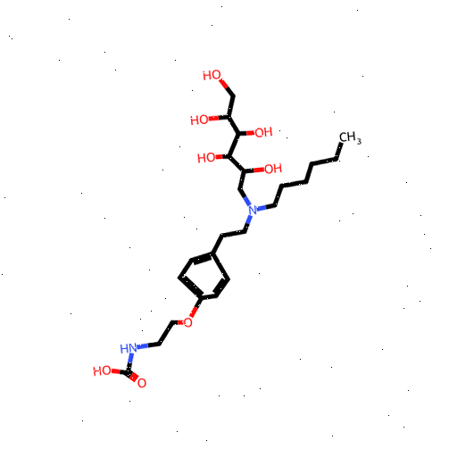 CCCCCCN(CCc1ccc(OCCNC(=O)O)cc1)CC(O)C(O)C(O)C(O)CO